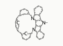 Cn1c2c3ccccc3n3c4cccc(c4)c4ccc(cc4)c4cccc(c4)n4c5ccccc5c1c4c23